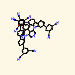 N#Cc1cc(C#N)cc(-c2ccc3c4ccc(-c5cc(C#N)cc(C#N)c5)cc4n(-c4cncc(-n5c6cc(-c7cc(C#N)cc(C#N)c7)ccc6c6ccc(-c7cc(C#N)cc(C#N)c7)cc65)c4-c4ccccc4C#N)c3c2)c1